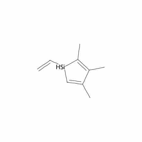 C=C[SiH]1C=C(C)C(C)=C1C